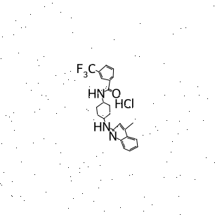 Cc1cc(NC2CCC(NC(=O)c3cccc(C(F)(F)F)c3)CC2)nc2ccccc12.Cl